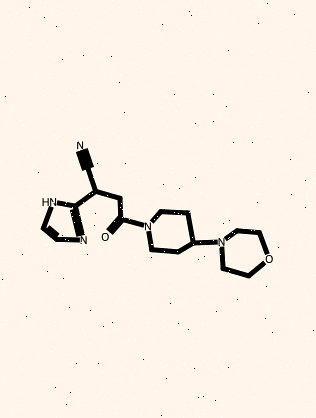 N#CC(CC(=O)N1CCC(N2CCOCC2)CC1)c1ncc[nH]1